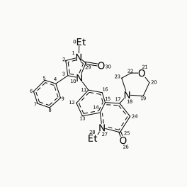 CCn1cc(-c2ccccc2)n(-c2ccc3c(c2)c(N2CCOCC2)cc(=O)n3CC)c1=O